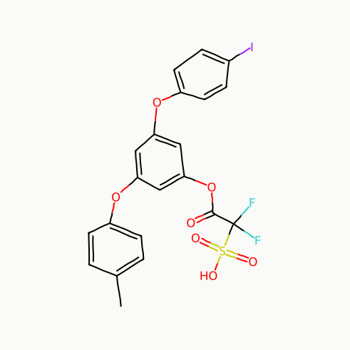 Cc1ccc(Oc2cc(OC(=O)C(F)(F)S(=O)(=O)O)cc(Oc3ccc(I)cc3)c2)cc1